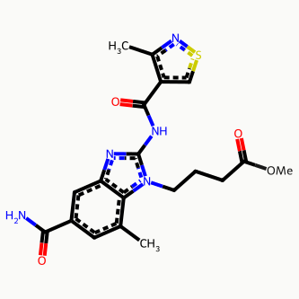 COC(=O)CCCn1c(NC(=O)c2csnc2C)nc2cc(C(N)=O)cc(C)c21